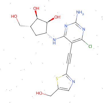 Nc1nc(Cl)c(C#Cc2ncc(CO)s2)c(N[C@@H]2C[C@H](CO)[C@@H](O)[C@H]2O)n1